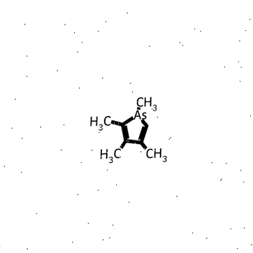 CC1=C[As](C)C(C)=C1C